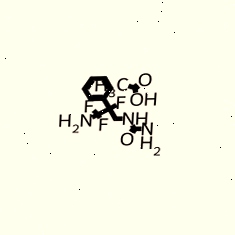 CC(=O)O.NC(=O)NCC(F)(c1ccccc1)C(N)(F)F